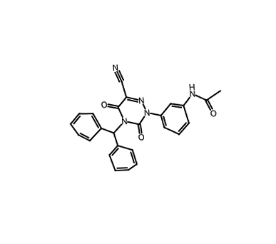 CC(=O)Nc1cccc(-n2nc(C#N)c(=O)n(C(c3ccccc3)c3ccccc3)c2=O)c1